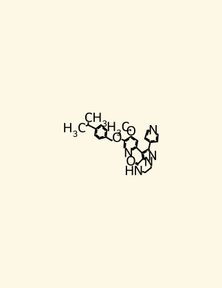 COc1cc(-c2c(-c3ccncc3)nn3c2C(=O)NCC3)ncc1OCc1ccc(C(C)C)cc1